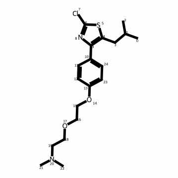 CC(C)Cc1sc(Cl)nc1-c1ccc(OCCOCCN(C)C)cc1